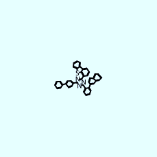 c1ccc(-c2ccc(-c3nc(-c4ccccc4-c4ccc5ccccc5c4)nc(-c4cccc5c4sc4ccccc45)n3)cc2)cc1